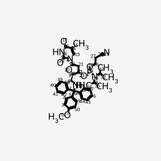 COc1ccc(C(NC[C@H]2O[C@@H](n3cc(C)c(=O)[nH]c3=O)C[C@@H]2OP(OCCC#N)N(C(C)C)C(C)C)(c2ccccc2)c2ccccc2)cc1